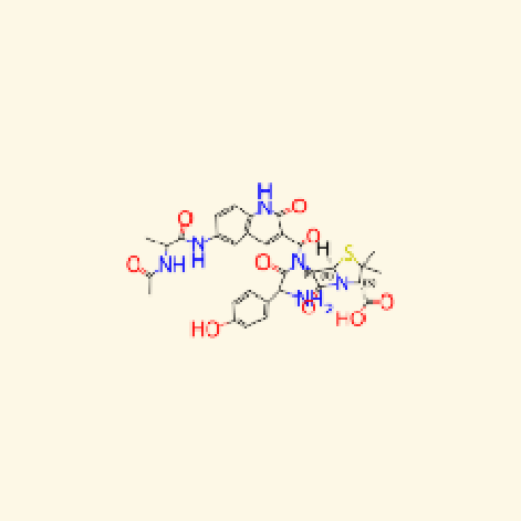 CC(=O)NC(C)C(=O)Nc1ccc2[nH]c(=O)c(C(=O)N(C(=O)C(N)c3ccc(O)cc3)[C@@H]3C(=O)N4[C@@H]3SC(C)(C)[C@@H]4C(=O)O)cc2c1